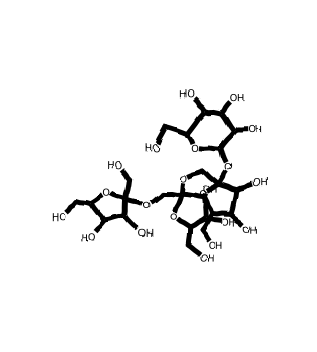 OCC1OC(OC2(COC3(COC4(CO)OC(CO)C(O)C4O)OC(CO)C(O)C3O)OC(CO)C(O)C2O)C(O)C(O)C1O